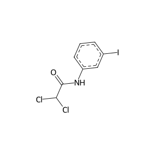 O=C(Nc1cccc(I)c1)C(Cl)Cl